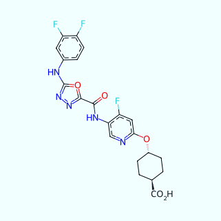 O=C(Nc1cnc(O[C@H]2CC[C@H](C(=O)O)CC2)cc1F)c1nnc(Nc2ccc(F)c(F)c2)o1